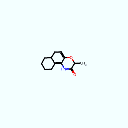 CC1OC2=CCC3CCCCC3=C2NC1=O